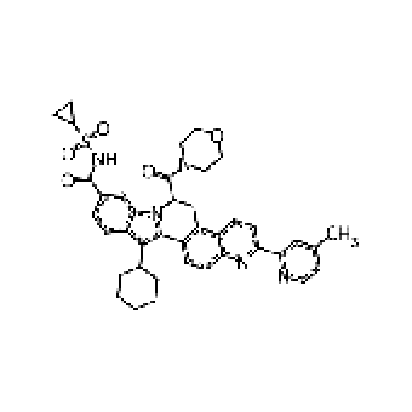 Cc1ccnc(-c2ccc3c4c(ccc3n2)-c2c(C3CCCCC3)c3ccc(C(=O)NS(=O)(=O)C5CC5)cc3n2C(C(=O)N2CCOCC2)C4)c1